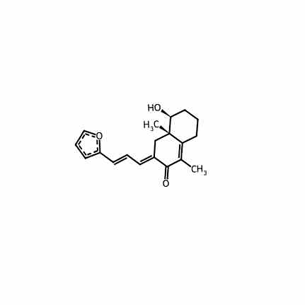 CC1=C2CCC[C@H](O)[C@@]2(C)CC(=CC=Cc2ccco2)C1=O